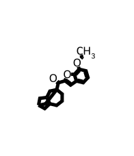 CCOc1cccc2cc(C(=O)C34CCCC5CC(CC5C3)C4)oc12